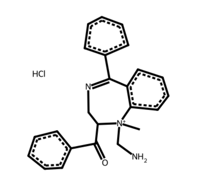 C[N+]1(CN)c2ccccc2C(c2ccccc2)=NCC1C(=O)c1ccccc1.Cl